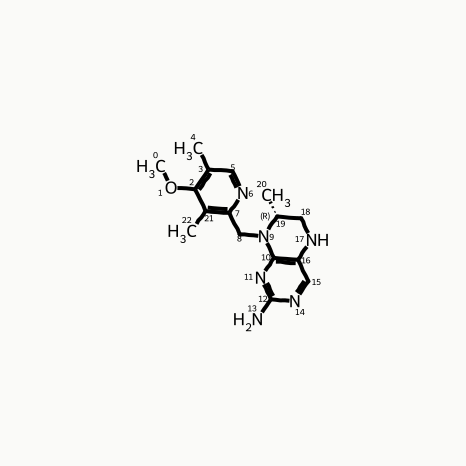 COc1c(C)cnc(CN2c3nc(N)ncc3NC[C@H]2C)c1C